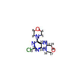 Clc1nc(N2CCOCC2)c2nc3n(c2n1)CCOC3